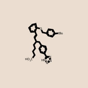 CC(C)(C)c1ccc(COc2ccccc2/C=C/C(CCCCC(=O)O)Cc2ccc(-c3nnn[nH]3)cc2)cc1